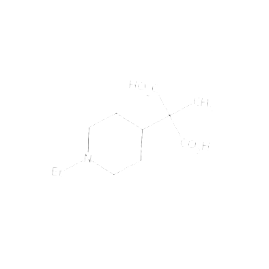 CCN1CCC(C(C)(C(=O)O)C(=O)O)CC1